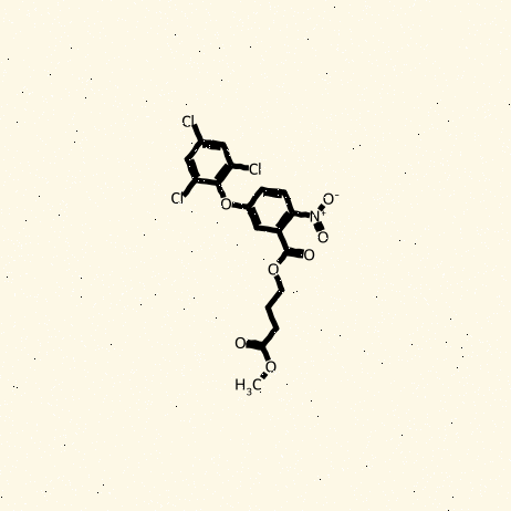 COC(=O)CCCOC(=O)c1cc(Oc2c(Cl)cc(Cl)cc2Cl)ccc1[N+](=O)[O-]